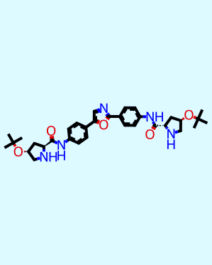 CC(C)(C)O[C@H]1CN[C@H](C(=O)Nc2ccc(-c3cnc(-c4ccc(NC(=O)[C@@H]5C[C@@H](OC(C)(C)C)CN5)cc4)o3)cc2)C1